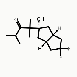 CC(C)C(=O)C(C)(C)[C@]1(O)C[C@H]2CC(F)(F)C[C@H]2C1